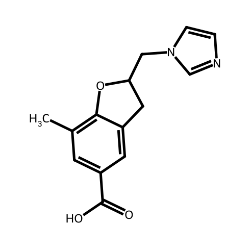 Cc1cc(C(=O)O)cc2c1OC(Cn1ccnc1)C2